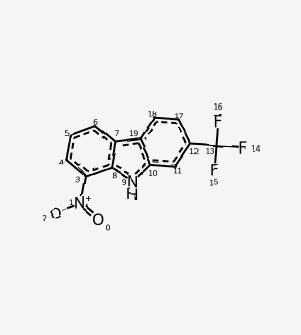 O=[N+]([O-])c1cccc2c1[nH]c1cc(C(F)(F)F)ccc12